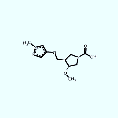 CO[C@H]1CN(C(=O)O)C[C@@H]1COc1cnn(C)c1